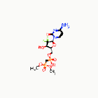 COP(=O)(CP(=O)(O)OC[C@H]1O[C@@H](n2ccc(N)nc2=O)C(F)(F)C1O)OC